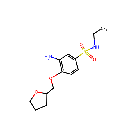 Nc1cc(S(=O)(=O)NCC(F)(F)F)ccc1OCC1CCCO1